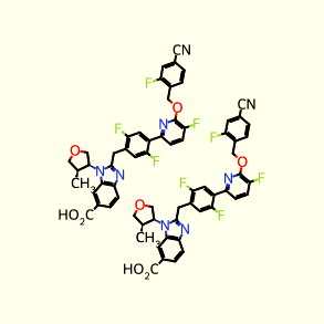 C[C@H]1COC[C@H]1n1c(Cc2cc(F)c(-c3ccc(F)c(OCc4ccc(C#N)cc4F)n3)cc2F)nc2ccc(C(=O)O)cc21.C[C@H]1COC[C@H]1n1c(Cc2cc(F)c(-c3ccc(F)c(OCc4ccc(C#N)cc4F)n3)cc2F)nc2ccc(C(=O)O)cc21